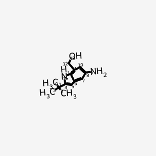 CC(C)(C)c1cc2cc(N)cc(CO)c2[nH]1